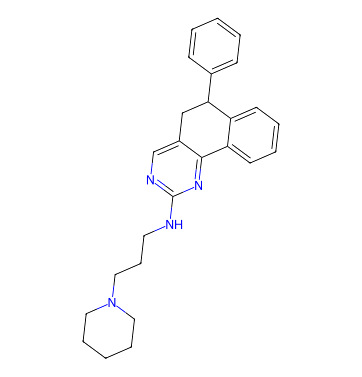 c1ccc(C2Cc3cnc(NCCCN4CCCCC4)nc3-c3ccccc32)cc1